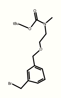 CN(CCOCc1cccc(CBr)c1)C(=O)OC(C)(C)C